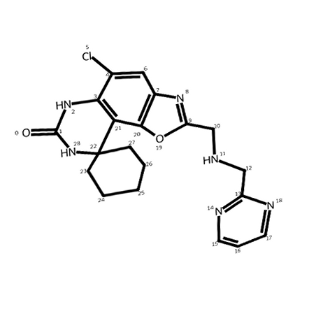 O=C1Nc2c(Cl)cc3nc(CNCc4ncccn4)oc3c2C2(CCCCC2)N1